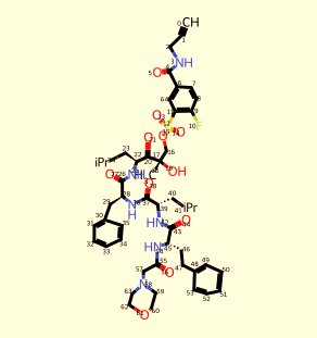 C#CCNC(=O)c1ccc(F)c(S(=O)(=O)OC[C@](C)(O)C(=O)[C@H](CC(C)C)NC(=O)[C@H](Cc2ccccc2)NC(=O)[C@H](CC(C)C)NC(=O)[C@H](CCc2ccccc2)NC(=O)CN2CCOCC2)c1